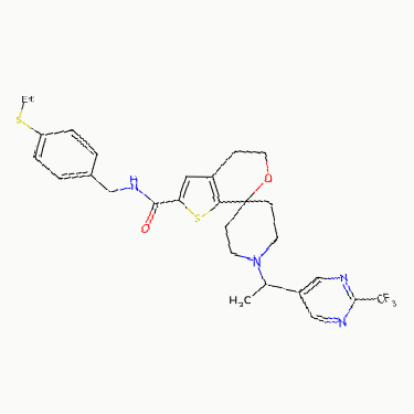 CCSc1ccc(CNC(=O)c2cc3c(s2)C2(CCN(C(C)c4cnc(C(F)(F)F)nc4)CC2)OCC3)cc1